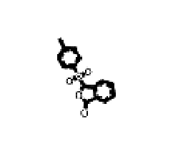 Cc1ccc(S(=O)(=O)C2OC(=O)c3ccccc32)cc1